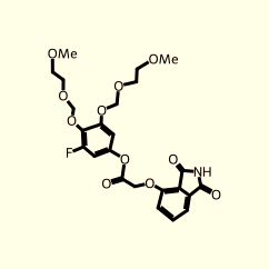 COCCOCOc1cc(OC(=O)COc2cccc3c2C(=O)NC3=O)cc(F)c1OCOCCOC